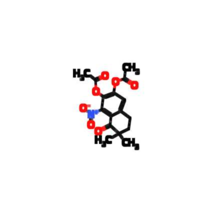 CC(=O)Oc1cc2c(c([N+](=O)[O-])c1OC(C)=O)C(=O)C(C)(C)CC2